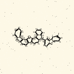 c1ccc2c(c1)oc1ccc(-n3c4ccccc4c4c5oc6c(ccc7oc8ccccc8c76)c5ccc43)cc12